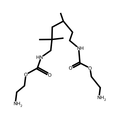 CC(CCNC(=O)OCCN)CC(C)(C)CNC(=O)OCCN